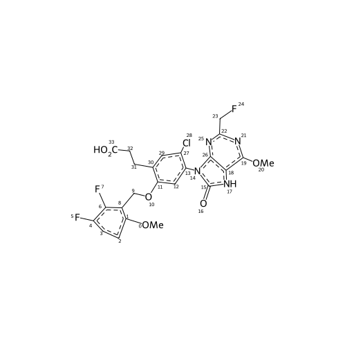 COc1ccc(F)c(F)c1COc1cc(-n2c(=O)[nH]c3c(OC)nc(CF)nc32)c(Cl)cc1CCC(=O)O